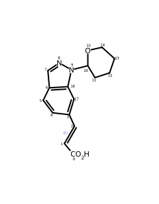 O=C(O)/C=C/c1ccc2cnn(C3CCCCO3)c2c1